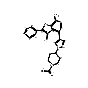 Nc1ncc(-c2cnn(C3CCN(C(=O)O)CC3)c2)c2c(Cl)c(-c3ccccc3)oc12